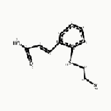 O=C(O)C=Cc1ccccc1SCCBr